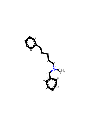 CN(CCCCCc1ccccc1)Cc1ccccc1